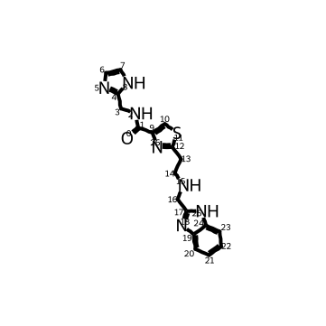 O=C(NCc1ncc[nH]1)c1csc(CCNCc2nc3ccccc3[nH]2)n1